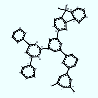 Cc1cc(-c2cccc(-c3cc(-c4ccc5c(c4)-c4ccccc4C5(C)C)cc(-c4nc(-c5ccccc5)cc(-c5ccccc5)n4)c3)c2)cc(C)n1